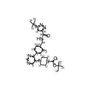 Cc1cc(-c2ncncc2N2CCN(C(=O)OC(C)(C)C)CC2)ccc1CNC(=O)c1cn(C(C)(C)C)nn1